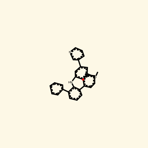 COc1cc(Nc2c(-c3ccccc3)cccc2-c2ccccc2)cc(-c2cccnc2)c1